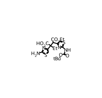 CCOC(=O)C(c1csc(NC(=O)OC(C)(C)C)n1)C(CC)(C(=O)O)c1csc(N)n1